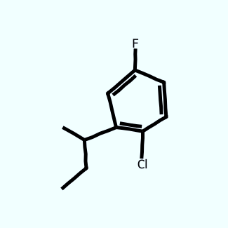 CCC(C)c1cc(F)ccc1Cl